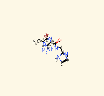 Cn1ccnc1CNC(=O)c1nc(Br)c(C(F)(F)F)nc1N